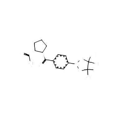 CC1(C)OB(c2ccc(C(=O)[C@@H]3CCC[C@H]3C(=O)O)cc2)OC1(C)C